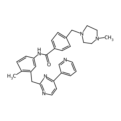 Cc1ccc(NC(=O)c2ccc(CN3CCN(C)CC3)cc2)cc1Cc1nccc(-c2cccnc2)n1